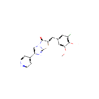 COc1cc(/C=c2\sc3nc(-c4ccncc4)cn3c2=O)cc(Cl)c1O